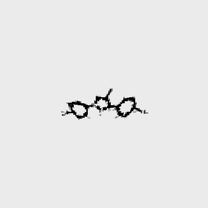 Cc1cn(-c2ccc(Cl)cc2)nc1-c1ccc(Cl)cc1